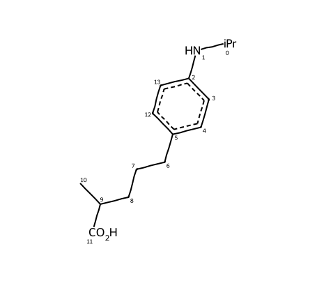 CC(C)Nc1ccc(CCCC(C)C(=O)O)cc1